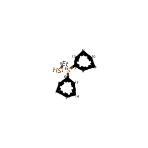 CCS.c1ccc(Sc2ccccc2)cc1